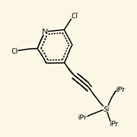 CC(C)[Si](C#Cc1cc(Cl)nc(Cl)c1)(C(C)C)C(C)C